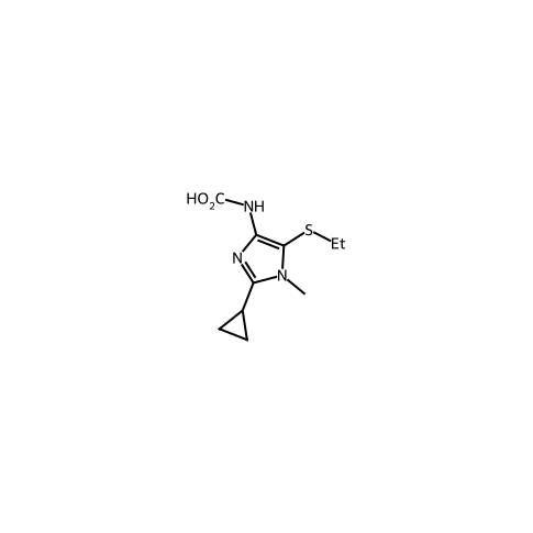 CCSc1c(NC(=O)O)nc(C2CC2)n1C